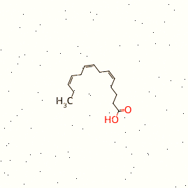 CC/C=C\C/C=C\C/C=C\CCCC(=O)O